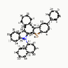 c1ccc(-c2ccc3sc4c(c3c2)c2ccccc2c2c3ccccc3n(-c3cccc5ccccc35)c42)cc1